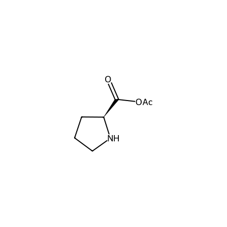 CC(=O)OC(=O)[C@@H]1CCCN1